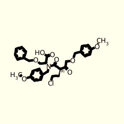 COc1ccc(COCC(=O)[C@@H](CCCl)C(=O)N(Cc2ccc(OC)cc2)C(COCc2ccccc2)C(=O)O)cc1